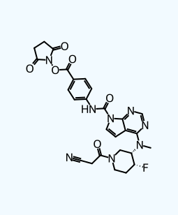 CN(c1ncnc2c1ccn2C(=O)Nc1ccc(C(=O)ON2C(=O)CCC2=O)cc1)[C@H]1CN(C(=O)CC#N)CC[C@H]1F